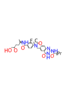 CC(C)C(=O)Nc1nc2ccc(CN(C(=O)C(F)(F)F)c3ccc(C(=O)N[C@H](C)CCC(=O)CO)cc3)cc2c(=O)[nH]1